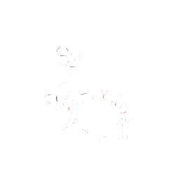 C=CCC1/C=C(\C)CC(C)CC(OC)C2OC(O)(C(=O)C(=O)N3CCCCC3C(=O)OC(C(C)=CC3CCC(OC(=O)C(OC)(c4ccccc4)C(F)(F)F)C(OC)C3)C(C)C(OC(=O)C(OC)(c3ccccc3)C(F)(F)F)CC1=O)C(C)CC2OC